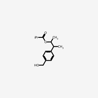 CC(C)C(=O)OC(C)C(C)c1ccc(CO)cc1